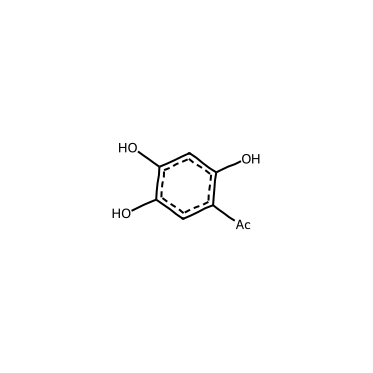 CC(=O)c1cc(O)c(O)cc1O